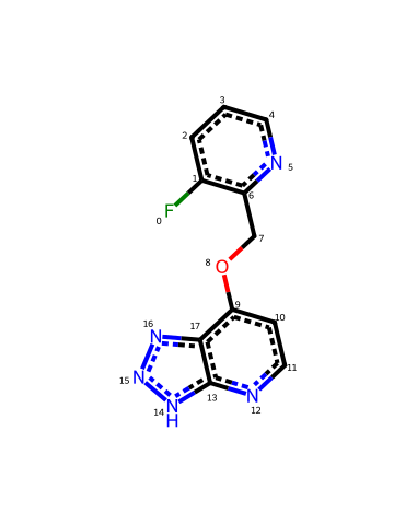 Fc1cccnc1COc1ccnc2[nH]nnc12